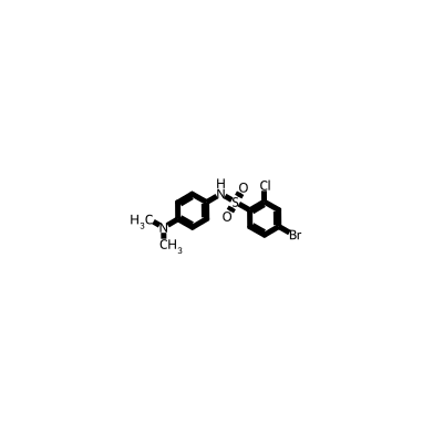 CN(C)c1ccc(NS(=O)(=O)c2ccc(Br)cc2Cl)cc1